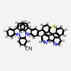 N#Cc1ccc(-n2c3ccccc3c3ccccc32)c(-n2c3ccccc3c3cc(-c4ccc5c(c4)C4(c6ccccc6S5)c5cccnc5-c5ncccc54)ccc32)c1